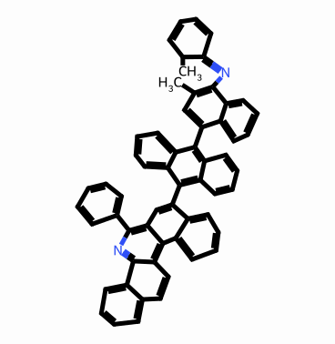 Cc1cc(-c2c3ccccc3c(-c3cc4c(-c5ccccc5)nc5c6ccccc6ccc5c4c4ccccc34)c3ccccc23)c2ccccc2c1/N=C1/C=CC=CC1C